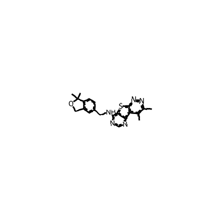 Cc1nnc2sc3c(NCc4ccc5c(c4)COC5(C)C)ncnc3c2c1C